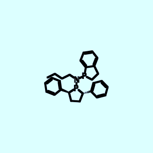 CCCCN(P1CCc2ccccc21)P1[C@H](c2ccccc2)CC[C@H]1c1ccccc1